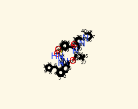 Cc1cccc(CC2CCCC2)c1-c1nc2nc(c1C)OC[C@@H](CC(C)(C)C)N(Cc1cccc(N3CCC[C@H]3C)n1)C(=O)c1cccc(c1)S(=O)(=O)N2